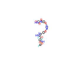 O=C1CCC(N2Cc3cc(OCCN4CCN(CCOc5ccc(-c6cnc7[nH]cc(C(=O)c8c(F)ccc(NS(=O)(=O)C9CC[C@@H](F)C9)c8F)c7c6)cc5)CC4)ccc3C2=O)C(=O)N1